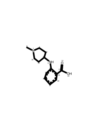 CN1CCC(Nc2ccccc2C(=O)O)CC1